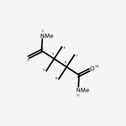 C=C(NC)C(C)(C)C(C)(C)C(=O)NC